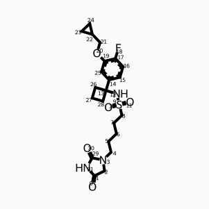 O=C1CN(CCCCCS(=O)(=O)NC2(c3ccc(F)c(OCC4CC4)c3)CCC2)C(=O)N1